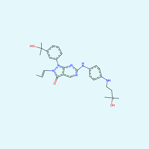 C/C=C/n1c(=O)c2cnc(Nc3ccc(NCC[Si](C)(C)O)cc3)nc2n1-c1cccc(C(C)(C)O)c1